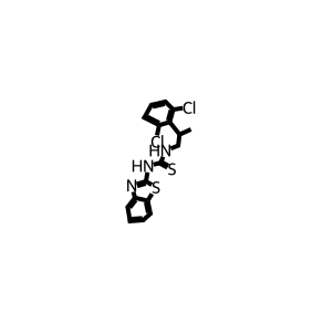 CC(CNC(=S)Nc1nc2ccccc2s1)c1c(Cl)cccc1Cl